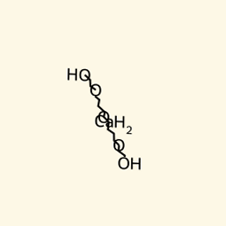 OCCOCCCCOCCCCOCCO.[CaH2]